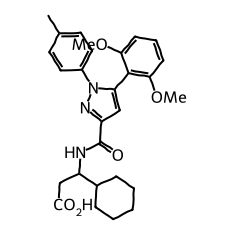 COc1cccc(OC)c1-c1cc(C(=O)NC(CC(=O)O)C2CCCCC2)nn1-c1ccc(C)cc1